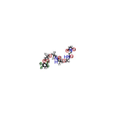 CC(C)(CNC(=O)CCN1C(=O)C=CC1=O)COCC(C)(C)CC(=O)NCC(C)(C)COCC(C)(C)CC(=O)Oc1c(F)c(F)cc(F)c1F